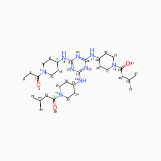 CCC(=O)N1CCC(Nc2nc(NC3CCN(C(=O)CC(C)C)CC3)nc(NC3CCN(C(=O)CC(C)C)CC3)n2)CC1